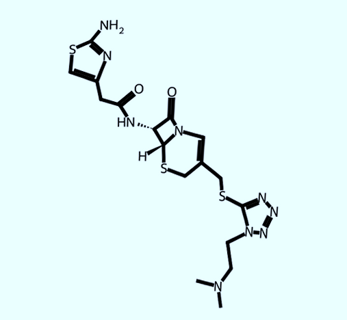 CN(C)CCn1nnnc1SCC1=CN2C(=O)[C@@H](NC(=O)Cc3csc(N)n3)[C@H]2SC1